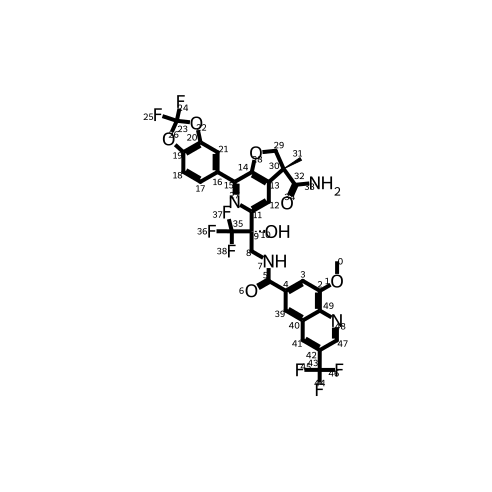 COc1cc(C(=O)NC[C@](O)(c2cc3c(c(-c4ccc5c(c4)OC(F)(F)O5)n2)OC[C@]3(C)C(N)=O)C(F)(F)F)cc2cc(C(F)(F)F)cnc12